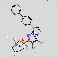 CC(=O)c1c(C2CC3CC[C@H](C2)N3S(=O)(=O)c2nnc[nH]2)nc2c(-c3ccc(-c4ccccc4)nc3)cnn2c1N